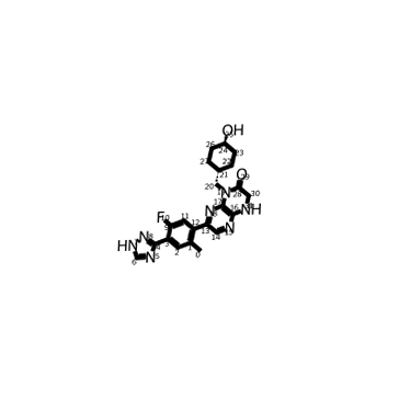 Cc1cc(-c2nc[nH]n2)c(F)cc1-c1cnc2c(n1)N(C[C@H]1CC[C@H](O)CC1)C(=O)CN2